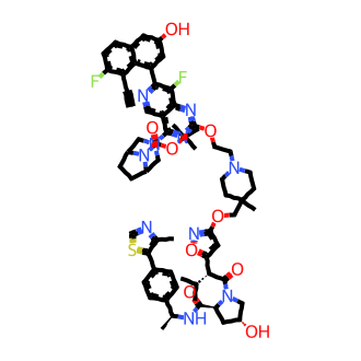 C#Cc1c(F)ccc2cc(O)cc(-c3ncc4c(N5CC6CCC(C5)N6C(=O)OC(C)(C)C)nc(OCCN5CCC(C)(COc6cc([C@H](C(=O)N7C[C@H](O)C[C@H]7C(=O)N[C@@H](C)c7ccc(-c8scnc8C)cc7)C(C)C)on6)CC5)nc4c3F)c12